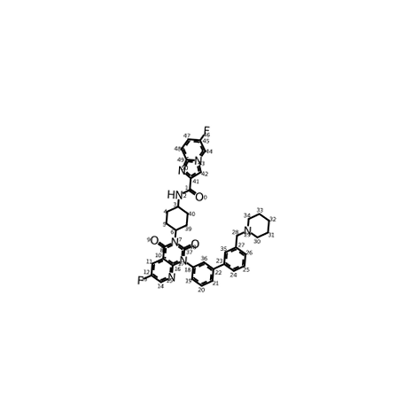 O=C(NC1CCC(n2c(=O)c3cc(F)cnc3n(-c3cccc(-c4cccc(CN5CCCCC5)c4)c3)c2=O)CC1)c1cn2cc(F)ccc2n1